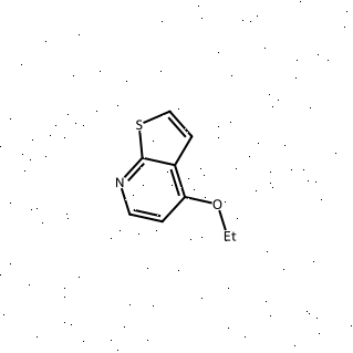 CCOc1ccnc2sccc12